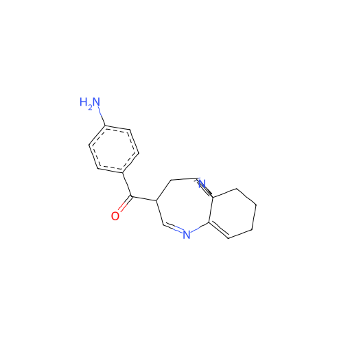 Nc1ccc(C(=O)C2C=NC3=CCCCC34CC=CN=C4C2)cc1